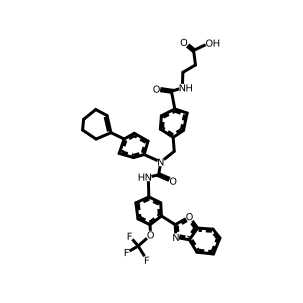 O=C(O)CCNC(=O)c1ccc(CN(C(=O)Nc2ccc(OC(F)(F)F)c(-c3nc4ccccc4o3)c2)c2ccc(C3=CCCCC3)cc2)cc1